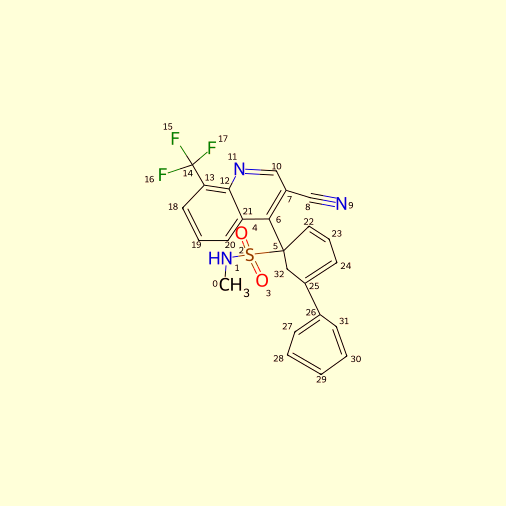 CNS(=O)(=O)C1(c2c(C#N)cnc3c(C(F)(F)F)cccc23)C=CC=C(c2ccccc2)C1